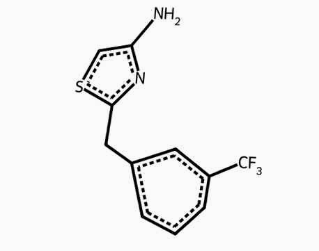 Nc1csc(Cc2cccc(C(F)(F)F)c2)n1